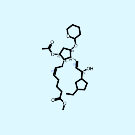 CCC1CCC([C@H](O)/C=C/[C@@H]2[C@@H](C/C=C\CCCC(=O)OC)[C@@H](OC(C)=O)C[C@H]2OC2CCCCO2)C1